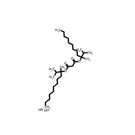 CCCCCCCCCC(C)(OC(=O)CC(=O)OC(C)(CCCCCCCCC)C(C)C)C(C)C.[KH].[LiH]